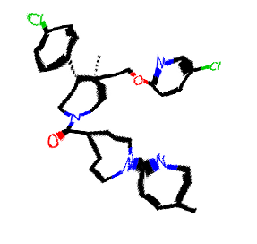 Cc1ccc(N2CCC(C(=O)N3C[C@H](c4ccc(Cl)cc4)[C@@](C)(COc4ccc(Cl)cn4)C3)CC2)nc1